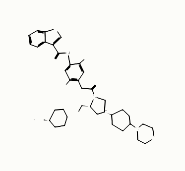 O=C(Nc1cc(F)c(CC(=O)N2C[C@@H](C3CCC(N4CCOCC4)CC3)C[C@H]2CO[C@H]2CC[C@H](C(=O)O)CC2)cc1Cl)c1csc2ccccc12